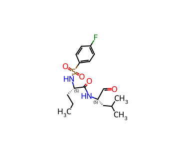 CCC[C@H](NS(=O)(=O)c1ccc(F)cc1)C(=O)N[C@H](C=O)CC(C)C